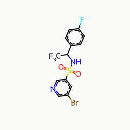 O=S(=O)(NC(c1ccc(F)cc1)C(F)(F)F)c1cncc(Br)c1